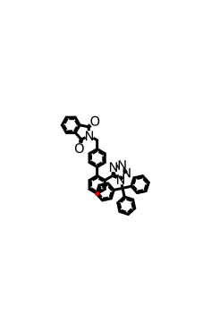 O=C1c2ccccc2C(=O)N1Cc1ccc(-c2ccccc2-c2nnnn2C(c2ccccc2)(c2ccccc2)c2ccccc2)cc1